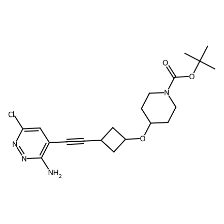 CC(C)(C)OC(=O)N1CCC(OC2CC(C#Cc3cc(Cl)nnc3N)C2)CC1